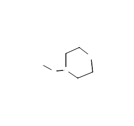 ClBN1CCOCC1